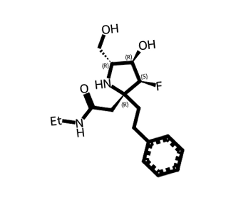 CCNC(=O)C[C@@]1(CCc2ccccc2)N[C@H](CO)[C@@H](O)[C@H]1F